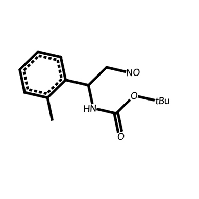 Cc1ccccc1C(CN=O)NC(=O)OC(C)(C)C